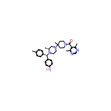 Cc1ccc([C@H](c2ccc([123I])cc2)N2CCN(C3(C)CCN(C(=O)c4c(C)ncnc4C)CC3)C[C@@H]2C)cc1